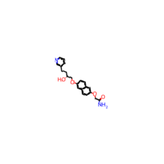 NC(=O)COc1ccc2cc(OC[C@H](O)CCc3cccnc3)ccc2c1